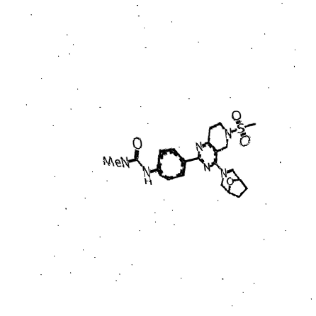 CNC(=O)Nc1ccc(-c2nc3c(c(N4CC5CCC(C4)O5)n2)CN(S(C)(=O)=O)CC3)cc1